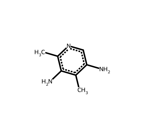 Cc1ncc(N)c(C)c1N